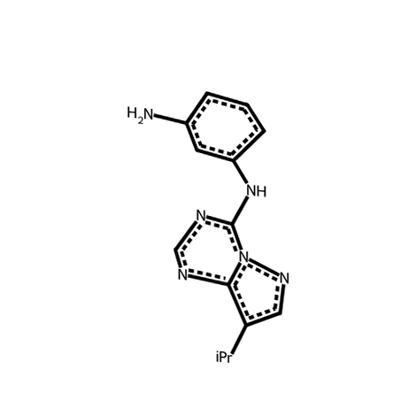 CC(C)c1cnn2c(Nc3cccc(N)c3)ncnc12